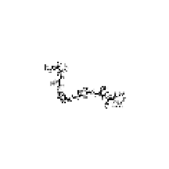 C=C(C)C(=O)OCC(O)CSc1nnc(SSSc2nnc(SCC(O)COC(=O)C(=C)C)s2)s1